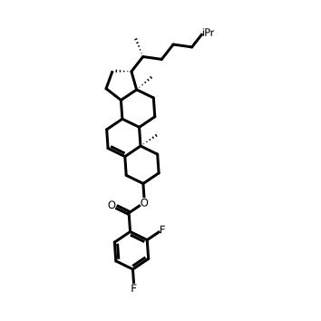 CC(C)CCC[C@@H](C)[C@H]1CCC2C3CC=C4CC(OC(=O)c5ccc(F)cc5F)CC[C@]4(C)C3CC[C@@]21C